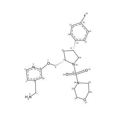 NCc1ccnc(OC[C@@H]2C[C@H](c3ccc(F)cc3)CN2S(=O)(=O)N2CCOCC2)c1